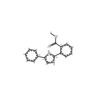 COC(=O)c1ccccc1-c1ncc(-c2ccccc2)o1